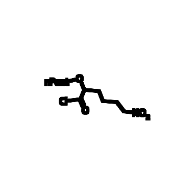 CCCCCOC(CCCC[N+](=O)[O-])C(=O)Cl